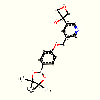 CC1(C)OB(c2ccc(OCc3cncc(C4(O)COC4)c3)cc2)OC1(C)C